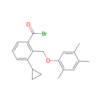 Cc1cc(C)c(OCc2c(C(=O)Br)cccc2C2CC2)cc1C